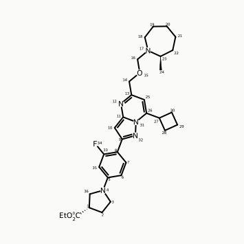 CCOC(=O)[C@H]1CCN(c2ccc(-c3cc4nc(COCN5CCCCC[C@H]5C)cc(C5CCC5)n4n3)c(F)c2)C1